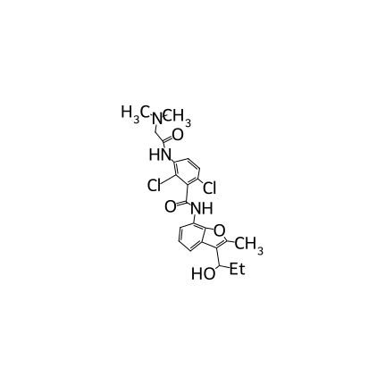 CCC(O)c1c(C)oc2c(NC(=O)c3c(Cl)ccc(NC(=O)CN(C)C)c3Cl)cccc12